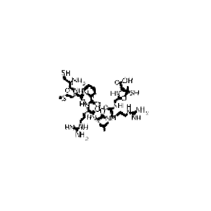 CSCC[C@H](NC(=O)[C@H](N)CS)C(=O)N1CCCC[C@H]1C(=O)N[C@@H](CCCNC(=N)N)C(=O)N[C@@H](CC(C)C)C(=O)N[C@@H](CCCNC(=N)N)C(=O)NCC(=O)N[C@H](C(=O)O)C(C)(C)S